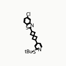 CC(C)(C)Sc1cc(C2CC3(C2)CC(c2nc4cc(Cl)ccc4s2)C3)ccn1